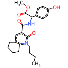 CCCCn1c2c(cc(C(=O)N[C@@H](C(=O)OC)c3ccc(O)cc3)c1=O)CCCC2